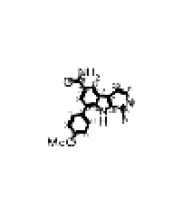 COc1ccc(-c2cc(C(N)=O)cc3c2[nH]c2c(C)nccc23)cc1